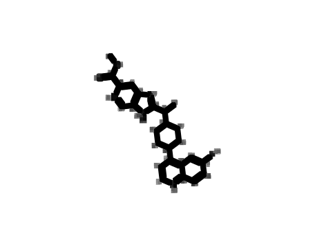 COC(=O)c1cc2nc(C(C)C3CCC(c4ccnc5ccc(F)cc45)CC3)[nH]c2cn1